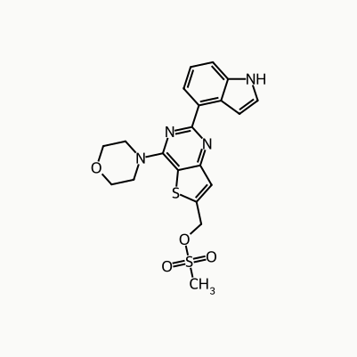 CS(=O)(=O)OCc1cc2nc(-c3cccc4[nH]ccc34)nc(N3CCOCC3)c2s1